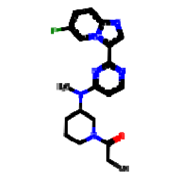 CN(c1ccnc(-c2cnc3ccc(F)cn23)n1)C1CCCN(C(=O)CC#N)C1